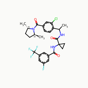 CC(NC(=O)C1(NC(=O)c2cc(F)cc(C(F)(F)F)c2)CC1)c1ccc(C(=O)N2[C@@H](C)CC[C@@H]2C)cc1Cl